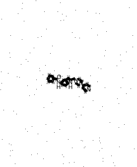 O=C(Nc1ccc2[nH]c(CN3CCN(c4ccncc4)CC3)cc2c1)c1ccccc1